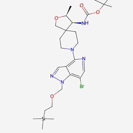 C[C@@H]1OCC2(CCN(c3ncc(Br)c4c3cnn4COCC[Si](C)(C)C)CC2)[C@@H]1NC(=O)OC(C)(C)C